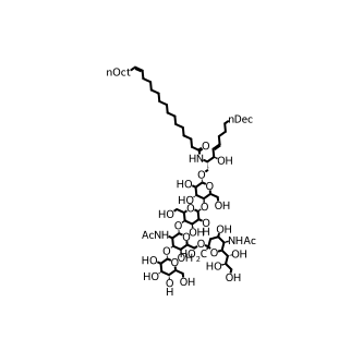 CCCCCCCC/C=C\CCCCCCCCCCCCCC(=O)N[C@@H](CO[C@@H]1OC(CO)[C@@H](O[C@@H]2OC(CO)[C@H](O[C@@H]3OC(CO[C@]4(C(=O)O)CC(O)[C@@H](NC(C)=O)C([C@H](O)[C@H](O)CO)O4)[C@H](O)[C@H](O[C@@H]4OC(CO)[C@H](O)[C@H](O)C4O)C3NC(C)=O)[C@H](O)C2O)[C@H](O)C1O)[C@H](O)/C=C/CCCCCCCCCCCCC